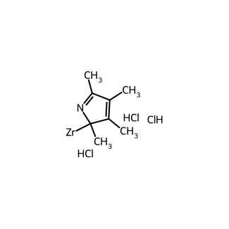 CC1=N[C](C)([Zr])C(C)=C1C.Cl.Cl.Cl